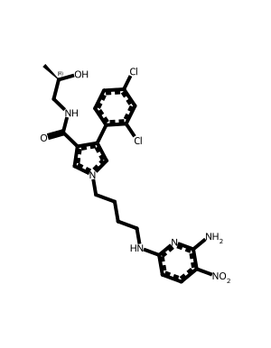 C[C@@H](O)CNC(=O)c1cn(CCCCNc2ccc([N+](=O)[O-])c(N)n2)cc1-c1ccc(Cl)cc1Cl